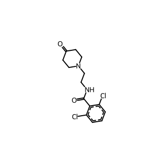 O=C1CCN(CCNC(=O)c2c(Cl)cccc2Cl)CC1